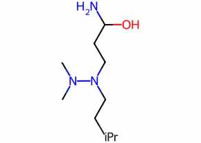 CC(C)CCN(CCC(N)O)N(C)C